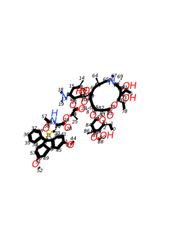 CC[C@@H]1O[C@@H](O[C@H]2[C@H](C)[C@@H](O[C@@H]3O[C@H](C)C[C@H](N(C)C)[C@H]3OC(=O)[C@@H](C)OC(=O)[C@H](CSC(c3ccccc3)(c3ccc(OC)cc3)c3ccc(OC)cc3)NC(C)=O)[C@](C)(O)C[C@@H](C)CN(C)[C@H](C)[C@@H](O)[C@@](O)(CC)[C@@H](CC)OC(=O)[C@@H]2C)C[C@@](C)(OC)[C@H]1O